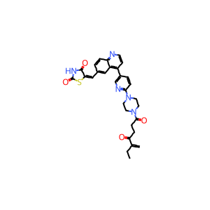 C=C(CC)C(=O)CCC(=O)N1CCN(c2ccc(-c3ccnc4ccc(C=C5SC(=O)NC5=O)cc34)cn2)CC1